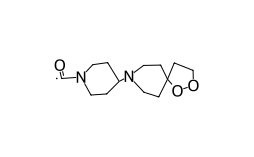 O=[C]N1CCC(N2CCC3(CCOO3)CC2)CC1